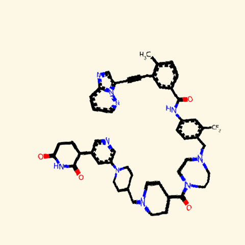 Cc1ccc(C(=O)Nc2ccc(CN3CCN(C(=O)C4CCN(CC5CCN(c6cncc(C7CCC(=O)NC7=O)c6)CC5)CC4)CC3)c(C(F)(F)F)c2)cc1C#Cc1cnc2cccnn12